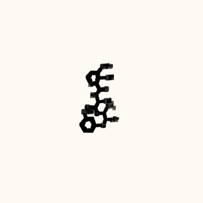 CCC[C@@H](Oc1cccc(OC)c1)[C@H](C)OC(=O)[C@H](C)NC(=O)c1nccc(OC)c1O